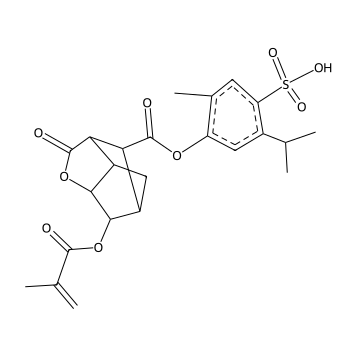 C=C(C)C(=O)OC1C2CC3C1OC(=O)C3C2C(=O)Oc1cc(C(C)C)c(S(=O)(=O)O)cc1C